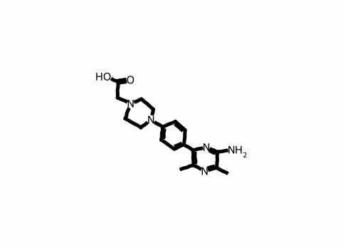 Cc1nc(C)c(-c2ccc(N3CCN(CC(=O)O)CC3)cc2)nc1N